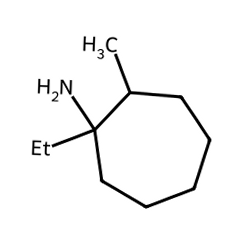 CCC1(N)CCCCCC1C